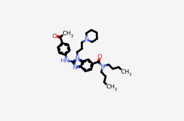 CCCCN(CCCC)C(=O)c1ccc2nc(Nc3ccc(C(C)=O)cc3)n(CCCN3CCCCC3)c2c1